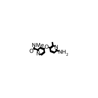 CNC(=O)c1cc(Oc2ccc(N)nc2C)ccn1